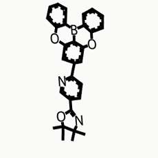 CC1(C)N=C(c2ccc(-c3cc4c5c(c3)Oc3ccccc3B5c3ccccc3O4)nc2)OC1(C)C